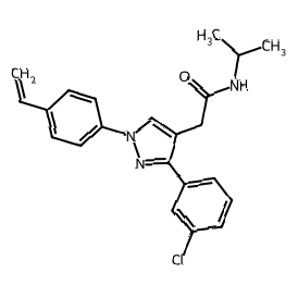 C=Cc1ccc(-n2cc(CC(=O)NC(C)C)c(-c3cccc(Cl)c3)n2)cc1